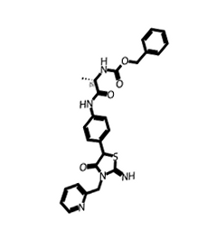 C[C@H](NC(=O)OCc1ccccc1)C(=O)Nc1ccc(C2SC(=N)N(Cc3ccccn3)C2=O)cc1